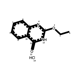 CCOc1nc2ccccc2c(=O)[nH]1.Cl